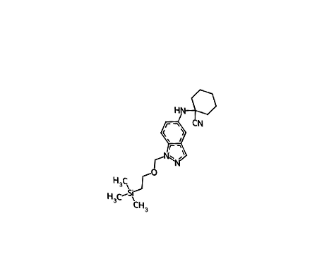 C[Si](C)(C)CCOCn1ncc2cc(NC3(C#N)CCCCC3)ccc21